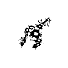 CC(=O)C1(c2ccccc2)CCN(c2c(F)cc(N3[C@@H](c4ccc5nc(C6CCCN6)[nH]c5c4)CC[C@@H]3c3ccc4nc(C5CCCN5)[nH]c4c3)cc2F)CC1